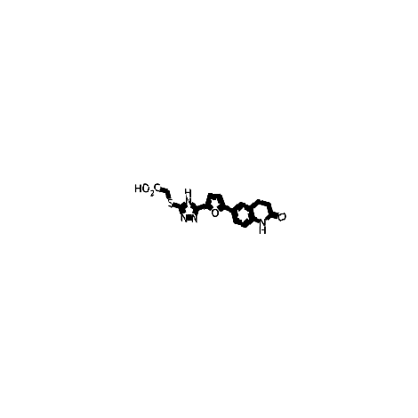 O=C(O)CSc1nnc(-c2ccc(-c3ccc4c(c3)CCC(=O)N4)o2)[nH]1